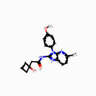 O=C(CC1(O)CCC1)Nc1nc2ccc(C(F)(F)F)nc2n1-c1ccc(OC(F)(F)F)cc1